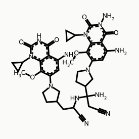 COc1c(N2CCC(CC(C#N)NC(N)(CC#N)C3CCN(c4cc(N)c5c(=O)n(N)c(=O)n(C6CC6)c5c4OC)C3)C2)cc(N)c2c(=O)[nH]c(=O)n(C3CC3)c12